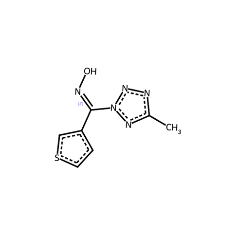 Cc1nnn(/C(=N\O)c2ccsc2)n1